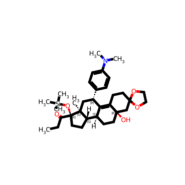 CCC(=O)[C@@]1(O[Si](C)(C)C)CC[C@H]2[C@@H]3CC[C@@]4(O)CC5(CCC4=C3[C@@H](c3ccc(N(C)C)cc3)C[C@@]21C)OCCO5